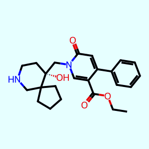 CCOC(=O)c1cn(C[C@]2(O)CCNCC23CCCC3)c(=O)cc1-c1ccccc1